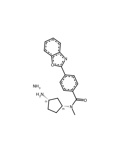 CN(C(=O)c1ccc(-c2nc3ccccc3o2)cc1)[C@@H]1CC[C@H](N)C1.N